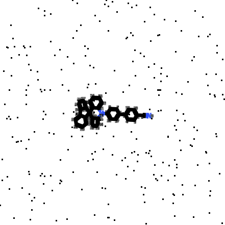 N#Cc1ccc(-c2ccc(N3c4ccccc4C4(c5ccccc5-c5ccccc54)c4ccccc43)cc2)cc1